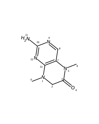 CN1CC(=O)N(C)c2cnc(N)nc21